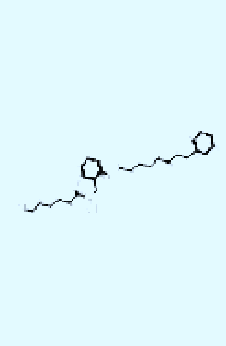 CN(Cc1ccccc1OCCCCCCCCc1ccccc1)C(=O)CCCCCN